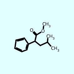 COC(=O)C(CC(C)C)c1ccccc1